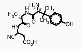 C[C@H](NC(=O)[C@@H](N)C(C)(C)c1ccc(O)cc1)C(=O)NC(C#N)CC(=O)O